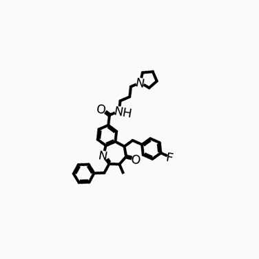 CC1C(=O)C(Cc2ccc(F)cc2)c2cc(C(=O)NCCCN3CCCC3)ccc2N=C1Cc1ccccc1